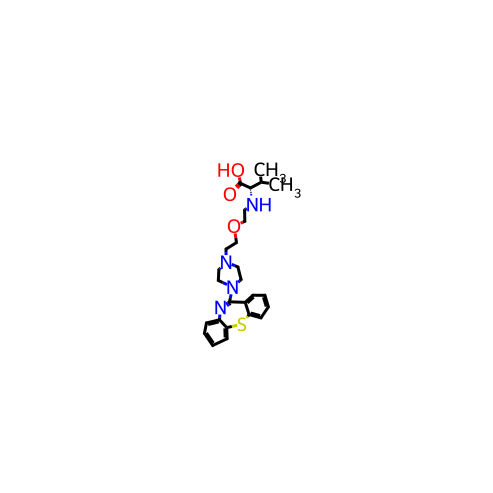 CC(C)[C@H](NCCOCCN1CCN(C2=Nc3ccccc3Sc3ccccc32)CC1)C(=O)O